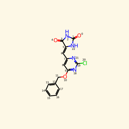 O=C1NC(=O)C(=Cc2cc(OCc3ccccc3)nc(Cl)n2)N1